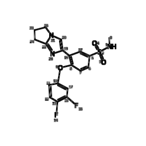 CNS(=O)(=O)c1ccc(Oc2ccc(F)c(F)c2)c(-c2cn3c(n2)CCC3)c1